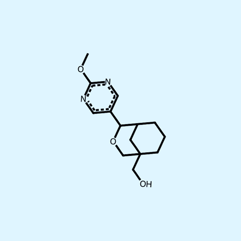 COc1ncc(C2OCC3(CO)CCCC2C3)cn1